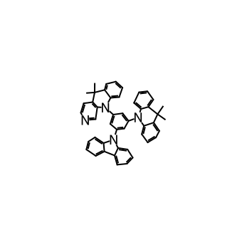 CC1(C)c2ccccc2N(c2cc(N3c4ccccc4C(C)(C)c4ccncc43)cc(-n3c4ccccc4c4ccccc43)c2)c2ccccc21